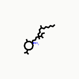 CCCCCCC(C)CCCC(C)(CCCC1(N)CCCC(C(C)C)CCCC(C)C1)C(C)CC